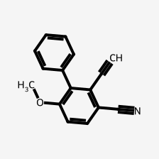 C#Cc1c(C#N)ccc(OC)c1-c1ccccc1